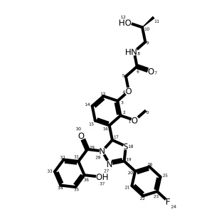 COc1c(OCC(=O)NC[C@H](C)O)cccc1C1SC(c2ccc(F)cc2)=NN1C(=O)c1ccccc1O